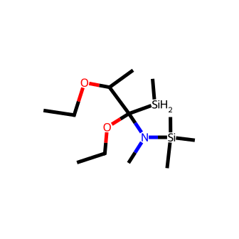 CCOC(C)C(OCC)([SiH2]C)N(C)[Si](C)(C)C